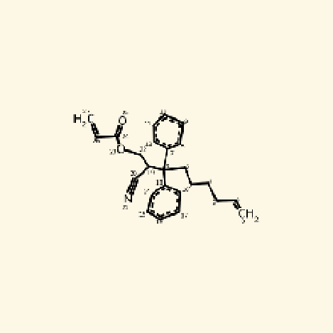 C=CCCCCC(c1ccccc1)(c1ccccc1)C(C#N)COC(=O)C=C